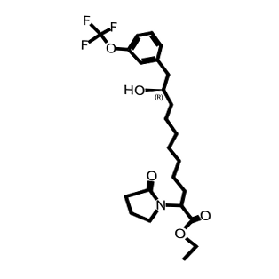 CCOC(=O)C(CCCCCCC[C@@H](O)Cc1cccc(OC(F)(F)F)c1)N1CCCC1=O